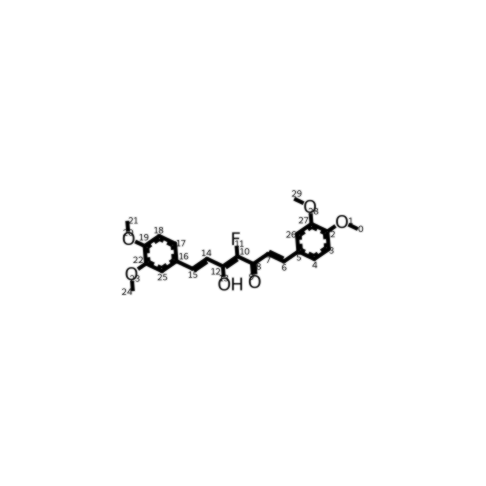 COc1ccc(/C=C/C(=O)/C(F)=C(O)/C=C/c2ccc(OC)c(OC)c2)cc1OC